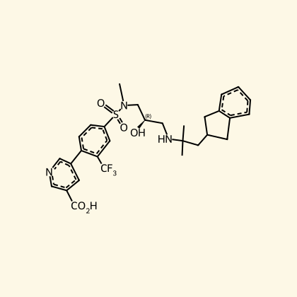 CN(C[C@H](O)CNC(C)(C)CC1Cc2ccccc2C1)S(=O)(=O)c1ccc(-c2cncc(C(=O)O)c2)c(C(F)(F)F)c1